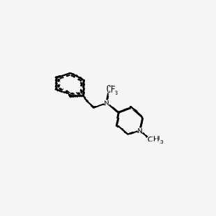 CN1CCC(N(Cc2ccccc2)C(F)(F)F)CC1